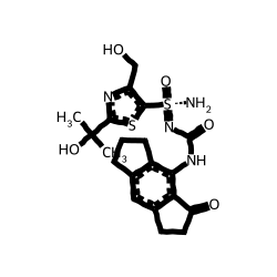 CC(C)(O)c1nc(CO)c([S@@](N)(=O)=NC(=O)Nc2c3c(cc4c2C(=O)CC4)CCC3)s1